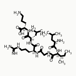 CC[C@H](C)[C@H](NC(=O)[C@@H](N)CC(C)C)C(=O)NCC(=O)N[C@@H](CCCNC(=N)N)C(=O)N[C@@H](CC(C)C)C(=O)N[C@@H](CCCN)C(=O)O